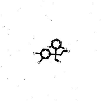 O=CCC(C=O)(c1ccc(Cl)c(Cl)c1)c1c(Cl)cccc1Cl